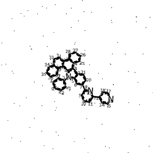 c1ccc(-n2c3cc(-c4cccc(-c5ccncc5)n4)ccc3c3c4ccccc4c4ccc5ccccc5c4c32)cc1